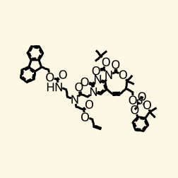 C=CCOC(=O)CN(CCNC(=O)OCC1c2ccccc2-c2ccccc21)C(=O)Cn1cc2c(nc1=O)N(C(=O)OC(C)(C)C)C(=O)OC(C)(C)C(COP1(=O)Oc3ccccc3C(C)(C)O1)C#C2